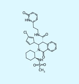 CS(=O)(=O)N[C@H]1CCCC[C@@H]1N1C(=O)c2ccccc2[C@@H](C(=O)NCCc2cccc(=O)[nH]2)C1C1C=CC(Cl)=C1